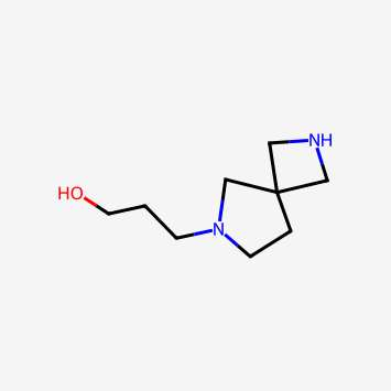 OCCCN1CCC2(CNC2)C1